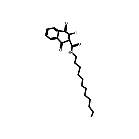 CCCCCCCCCCCCNC(=O)C1=C(Cl)C(=O)c2ccccc2C1=O